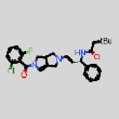 CC(C)(C)CC(=O)N[C@@H](CCN1CC2=CN(C(=O)c3c(F)cccc3Cl)CC2C1)c1ccccc1